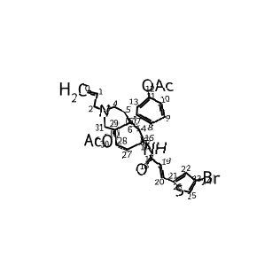 C=CCN1CC[C@@]2(c3cccc(OC(C)=O)c3)C[C@@H](NC(=O)C=Cc3cc(Br)cs3)CC[C@]2(OC(C)=O)C1